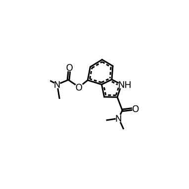 CN(C)C(=O)Oc1cccc2[nH]c(C(=O)N(C)C)cc12